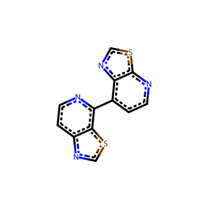 [c]1nc2c(-c3nccc4ncsc34)ccnc2s1